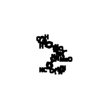 COCC[C@H](C)Oc1nn([C@H]2CC[C@H](N3[C@@H]4CC[C@H]3COC4)CC2)cc1Nc1ncc(-c2ccc(C#N)c(O[C@@H](C)Cn3cncn3)c2)cn1